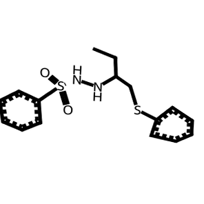 CCC(CSc1ccccc1)NNS(=O)(=O)c1ccccc1